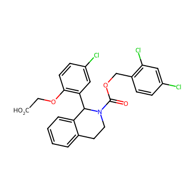 O=C(O)COc1ccc(Cl)cc1C1c2ccccc2CCN1C(=O)OCc1ccc(Cl)cc1Cl